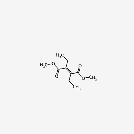 CC/C(C(=O)OC)=C(/CC)C(=O)OC